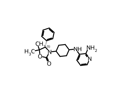 CC1(C)OC(=O)N(C2CCC(Nc3cccnc3N)CC2)[C@H]1c1ccccc1